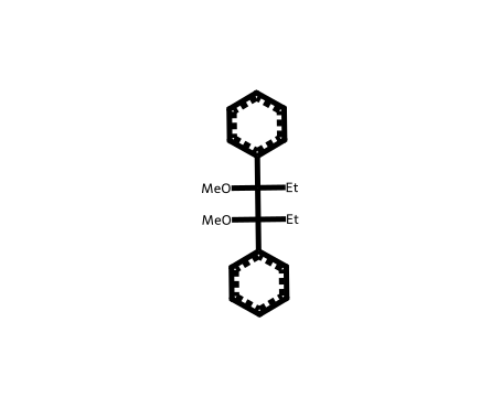 CCC(OC)(c1ccccc1)C(CC)(OC)c1ccccc1